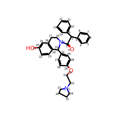 O=C(C(c1ccccc1)c1ccccc1)N1CCc2cc(O)ccc2C1c1ccc(OCCN2CCCC2)cc1